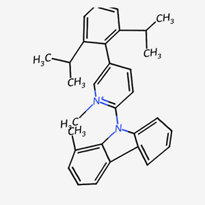 Cc1cccc2c3ccccc3n(-c3ccc(-c4c(C(C)C)cccc4C(C)C)c[n+]3C)c12